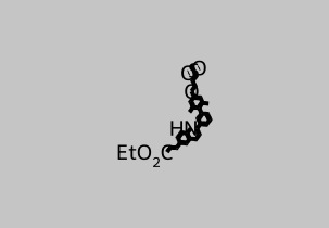 CCOC(=O)CCc1ccc2c(c1)CCC(c1cccc(-c3c(C)cc(OCCCS(C)(=O)=O)cc3C)c1)N2